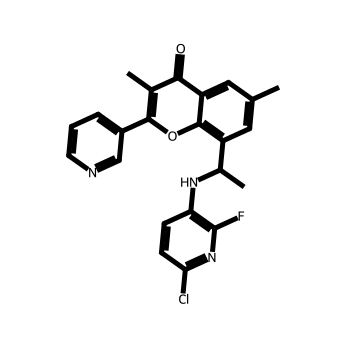 Cc1cc(C(C)Nc2ccc(Cl)nc2F)c2oc(-c3cccnc3)c(C)c(=O)c2c1